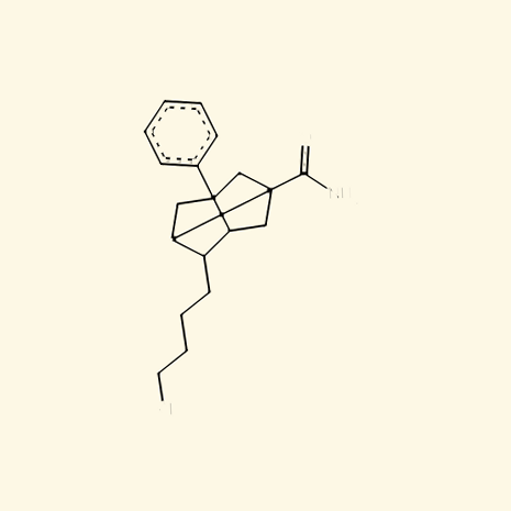 NC(=O)C12CC3C(CCCCCl)C1CC3(c1ccccc1)C2